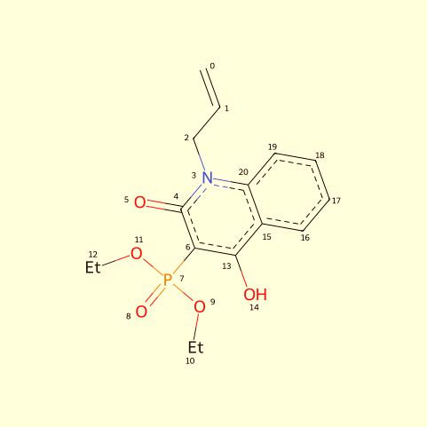 C=CCn1c(=O)c(P(=O)(OCC)OCC)c(O)c2ccccc21